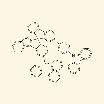 c1ccc(N(c2ccc3c(c2)-c2c(oc4ccccc24)C32c3ccccc3-c3ccc(-c4ccc(-n5c6ccccc6c6ccccc65)cc4)cc32)c2cccc3ccccc23)cc1